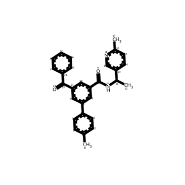 Cc1ccc(-c2cc(C(=O)NC(C)c3ccc(C)nc3)cc(C(=O)c3ccccc3)c2)cc1